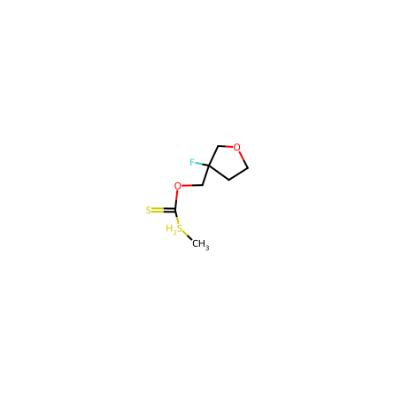 C[SH2]C(=S)OCC1(F)CCOC1